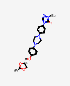 CCC(C)n1ncn(-c2ccc(N3CCN(c4ccc(OC[C@@H]5COC(C(C)C)O5)cc4)CC3)cc2)c1=O